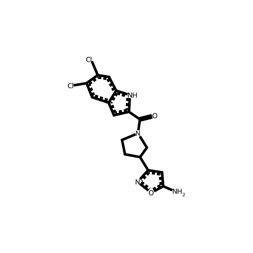 Nc1cc(C2CCN(C(=O)c3cc4cc(Cl)c(Cl)cc4[nH]3)C2)no1